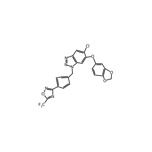 FC(F)(F)c1nc(-c2ccc(Cn3nnc4cc(Cl)c(Oc5ccc6c(c5)OCO6)cc43)cc2)no1